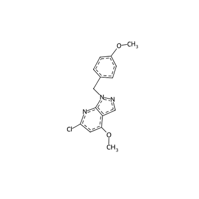 COc1ccc(Cn2ncc3c(OC)cc(Cl)nc32)cc1